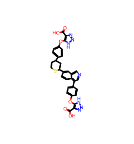 O=C(O)c1nn[nH]c1Oc1ccc(-c2cncc3cc(C4CC(c5ccc(Oc6[nH]nnc6C(=O)O)cc5)CCS4)ccc23)cc1